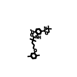 COc1ccc(C2=NC(C)(C)CO2)cc1NC(=O)C(C)(C)CCCOc1cc(C)ccc1C